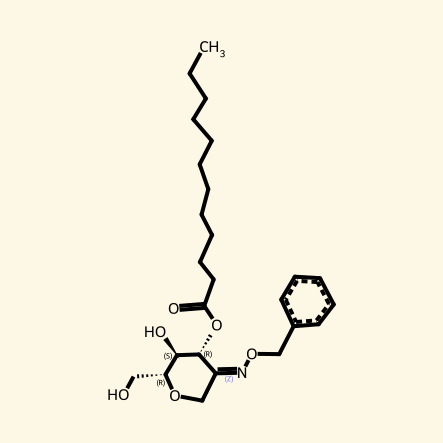 CCCCCCCCCCCC(=O)O[C@@H]1/C(=N\OCc2ccccc2)CO[C@H](CO)[C@H]1O